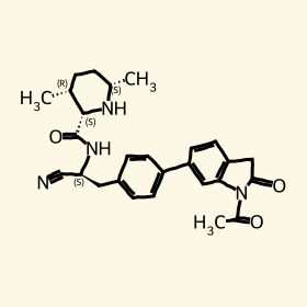 CC(=O)N1C(=O)Cc2ccc(-c3ccc(C[C@@H](C#N)NC(=O)[C@H]4N[C@@H](C)CC[C@H]4C)cc3)cc21